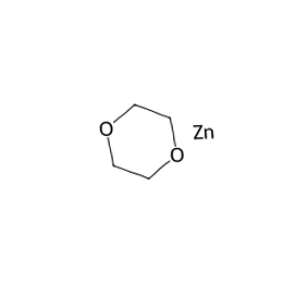 C1COCCO1.[Zn]